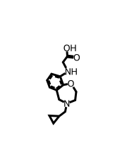 O=C(O)CNc1cccc2c1OCCN(CC1CC1)C2